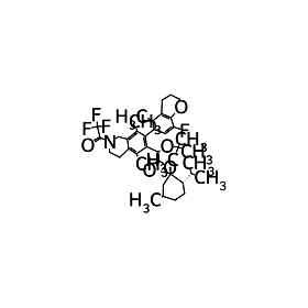 Cc1c(-c2c(C)c3c(c(C)c2[C@H](OC(C)(C)C)C(=O)O[C@@H]2C[C@H](C)CC[C@H]2C(C)C)CCN(C(=O)C(F)(F)F)C3)cc(F)c2c1CCCO2